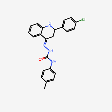 Cc1ccc(NC(=O)NN=C2CC(c3ccc(Cl)cc3)Nc3ccccc32)cc1